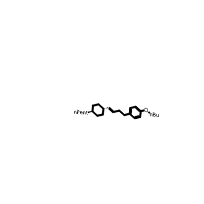 CCCCC[C@H]1CC[C@H](C=CCCc2ccc(OCCCC)cc2)CC1